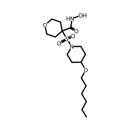 CCCCCCOC1CCN(S(=O)(=O)C2(C(=O)NO)CCOCC2)CC1